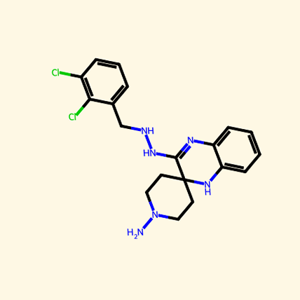 NN1CCC2(CC1)Nc1ccccc1N=C2NNCc1cccc(Cl)c1Cl